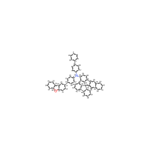 c1ccc(-c2ccc(N(c3ccc(-c4ccc5oc6ccccc6c5c4)cc3)c3ccc4c(c3)C3(c5ccccc5-c5ccccc53)c3cc5ccccc5cc3-4)cc2)cc1